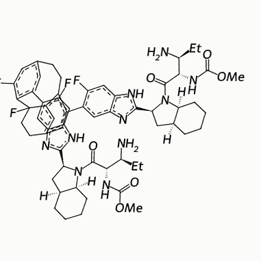 CC[C@H](N)[C@H](NC(=O)OC)C(=O)N1[C@H](c2nc3cc(-c4cc5cc6c4CCc4cc(F)c(c(-c7cc8nc([C@@H]9C[C@@H]%10CCCC[C@@H]%10N9C(=O)[C@@H](NC(=O)OC)[C@@H](N)CC)[nH]c8cc7F)c4)C6(F)CC5)c(F)cc3[nH]2)C[C@@H]2CCCC[C@@H]21